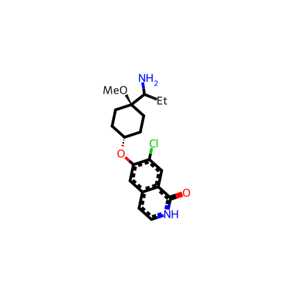 CCC(N)[C@]1(OC)CC[C@H](Oc2cc3cc[nH]c(=O)c3cc2Cl)CC1